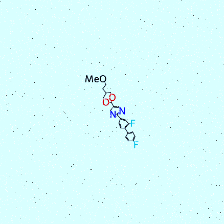 COCCC1COC(c2cnc(-c3ccc(-c4ccc(F)cc4)c(F)c3)nc2)OC1